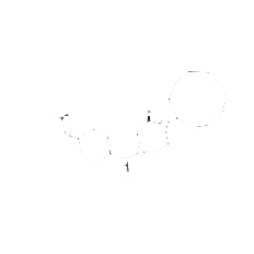 CC(=O)NC1CCC(C(=O)N2CCN(C3CCCCCCCCC3)C(=O)C2)CC1